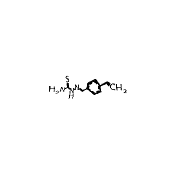 C=Cc1ccc(C=NNC(N)=S)cc1